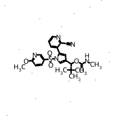 CNC(=O)OC(c1cc(-c2cccnc2C#N)n(S(=O)(=O)c2ccc(OC)nc2)c1)C(C)(C)C